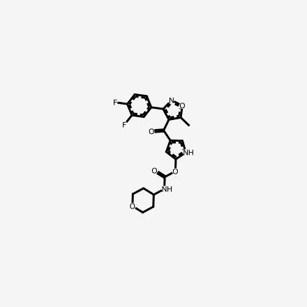 Cc1onc(-c2ccc(F)c(F)c2)c1C(=O)c1c[nH]c(OC(=O)NC2CCOCC2)c1